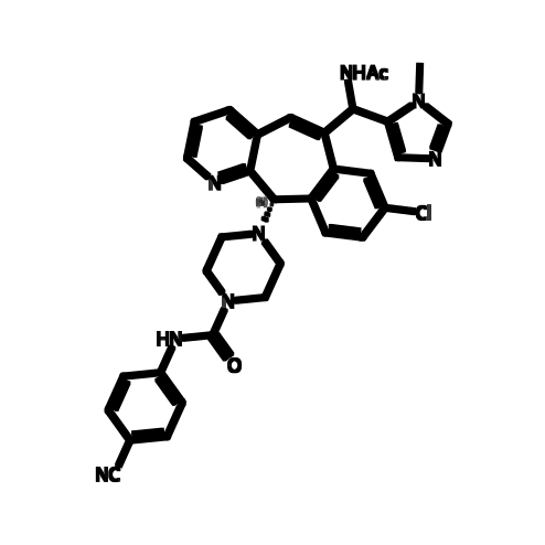 CC(=O)NC(C1=Cc2cccnc2[C@@H](N2CCN(C(=O)Nc3ccc(C#N)cc3)CC2)c2ccc(Cl)cc21)c1cncn1C